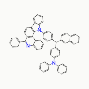 c1ccc(-c2nc3ccccc3c3c2ccc2c4ccccc4n(-c4ccc(C(c5ccc(N(c6ccccc6)c6ccccc6)cc5)c5ccc6ccccc6c5)cc4)c23)cc1